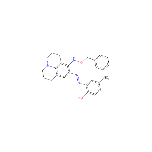 O=[N+]([O-])c1ccc(O)c(N=Nc2cc3c4c(c2NOCc2ccccc2)CCCN4CCC3)c1